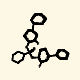 O=P(Oc1ccc(-c2ccccc2)cc1F)(Oc1ccc(-c2ccccc2)cc1F)C1CCCCC1